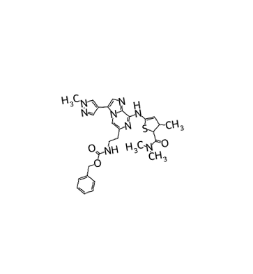 CC1C=C(Nc2nc(CCNC(=O)OCc3ccccc3)cn3c(-c4cnn(C)c4)cnc23)SC1C(=O)N(C)C